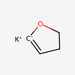 [C-]1=CCCO1.[K+]